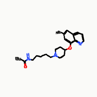 CCCCc1cc(OC2CCN(CCCCCNC(=O)C(C)(C)C)CC2)c2ncccc2c1